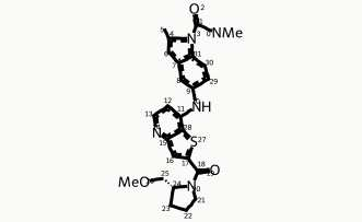 CNC(=O)n1c(C)cc2cc(Nc3ccnc4cc(C(=O)N5CCC[C@@H]5COC)sc34)ccc21